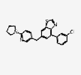 Clc1cccc(-c2cc(Cc3ccc(N4CCCC4)nc3)cc3scnc23)c1